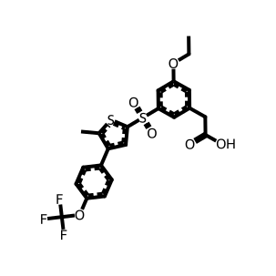 CCOc1cc(CC(=O)O)cc(S(=O)(=O)c2cc(-c3ccc(OC(F)(F)F)cc3)c(C)s2)c1